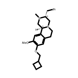 COc1cc2c(cc1OCC1CCC1)CCN1C[C@@H](CC(C)C)N(C)C[C@H]21